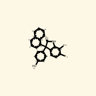 O=C1Nc2c(ccc(F)c2F)C1(c1ccc(O)cc1)c1cccc2ccccc12